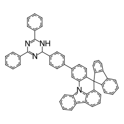 c1ccc(C2=NC(c3ccc(-c4ccc5c(c4)-n4c6ccccc6c6cccc(c64)C54c5ccccc5-c5ccccc54)cc3)NC(c3ccccc3)=N2)cc1